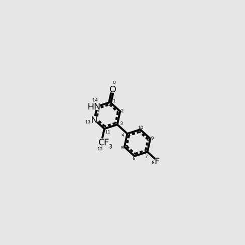 O=c1cc(-c2ccc(F)cc2)c(C(F)(F)F)n[nH]1